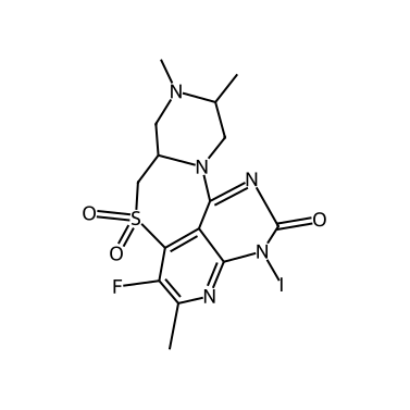 Cc1nc2c3c(nc(=O)n2I)N2CC(C)N(C)CC2CS(=O)(=O)c3c1F